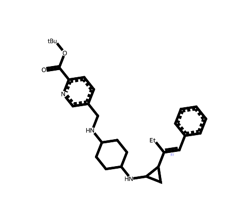 CC/C(=C\c1ccccc1)C1CC1NC1CCC(NCc2ccc(C(=O)OC(C)(C)C)nc2)CC1